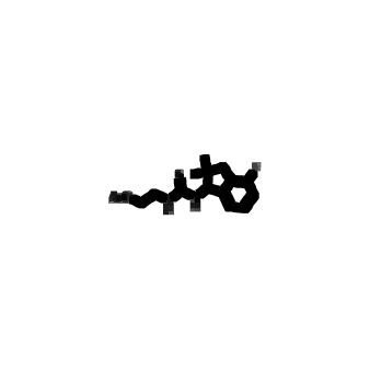 CC(=O)OCCNC(=S)NC1c2cccc(F)c2CC1(C)C